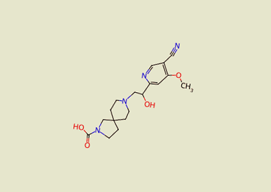 COc1cc(C(O)CN2CCC3(CC2)CCN(C(=O)O)C3)ncc1C#N